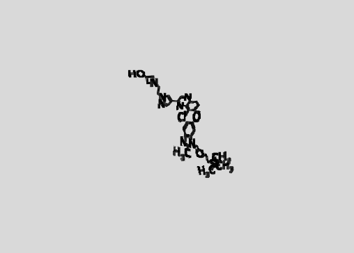 Cc1nc2ccc(Oc3ccc4ncc(-c5cnn(CCN6CC(O)C6)c5)nc4c3Cl)cc2n1COCC[Si](C)(C)C